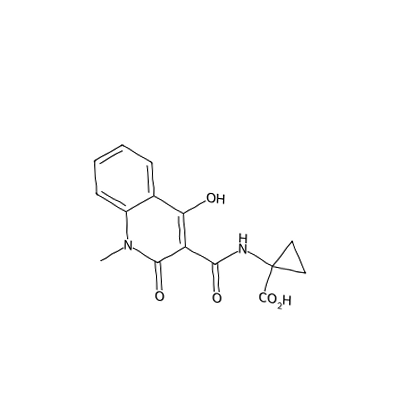 Cn1c(=O)c(C(=O)NC2(C(=O)O)CC2)c(O)c2ccccc21